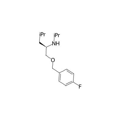 CC(C)C[C@H](COCc1ccc(F)cc1)NC(C)C